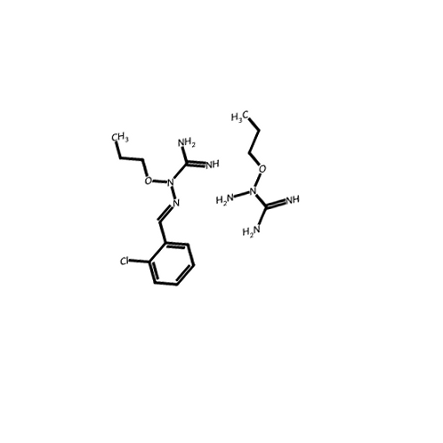 CCCON(/N=C/c1ccccc1Cl)C(=N)N.CCCON(N)C(=N)N